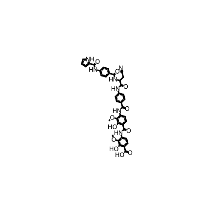 COc1c(NC(=O)c2ccc(NC(=O)c3ccc(NC(=O)C(CC#N)NC(=O)c4ccc(NC(=O)c5ccc[nH]5)cc4)cc3)c(OC)c2O)ccc(C(=O)O)c1O